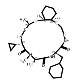 C[C@@H]1CN[C@@H](C2CC2)C(=O)N(C)[C@H](C)C(=O)N[C@H](CC2CCCCC2)C(=O)NCCC[C@@H]2CCCC[C@@H]2O1